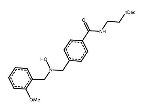 CCCCCCCCCCCCNC(=O)c1ccc(CN(O)Cc2ccccc2OC)cc1